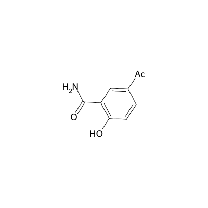 CC(=O)c1ccc(O)c(C(N)=O)c1